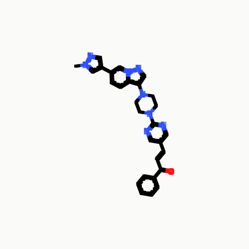 Cn1cc(-c2ccc3c(N4CCN(c5ncc(C=CC(=O)c6ccccc6)cn5)CC4)cnn3c2)cn1